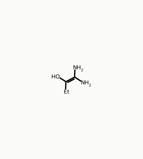 CCC(O)=C(N)N